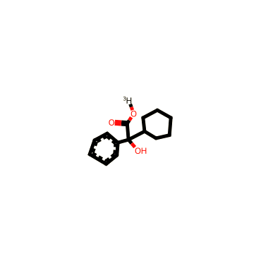 [3H]OC(=O)C(O)(c1ccccc1)C1CCCCC1